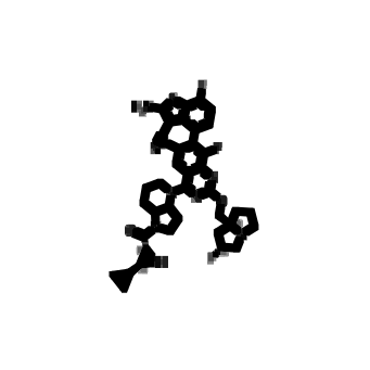 N#Cc1c(N)sc2c(F)ccc(-c3c(Cl)cc4c(N5CCCC6C5CCN6C(=O)[C@@H]5N[C@H]5C5CC5)nc(OC[C@@]56CCCN5C[C@H](F)C6)nc4c3F)c12